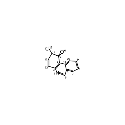 O=C1c2c(ncc3ccccc23)C=CC1Cl